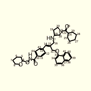 O=C(NOC1CCCCO1)c1ccc(/C=C(/CNC2CCN(C(=O)C3CCCCC3)C2)COc2cccc3ccccc23)cc1